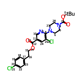 CC(C)(C)OC(=O)N1CCN(c2ncc(C(=O)OCCc3ccc(Cl)cc3)cc2Cl)CC1